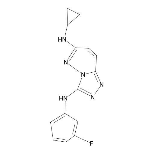 Fc1cccc(Nc2nnc3ccc(NC4CC4)nn23)c1